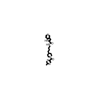 Cc1cnc(C(=O)N2CCC(CCCCNC(=O)c3cc4cnccc4[nH]3)CC2)cn1